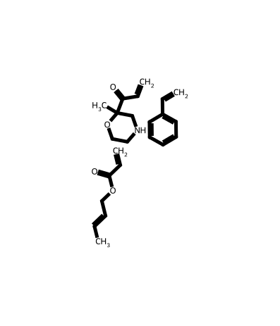 C=CC(=O)C1(C)CNCCO1.C=CC(=O)OCC=CC.C=Cc1ccccc1